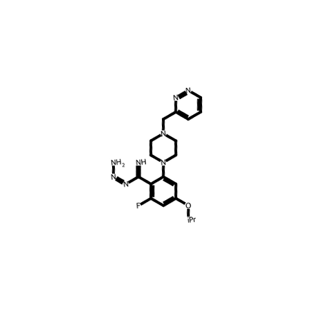 CC(C)Oc1cc(F)c(C(=N)/N=N\N)c(N2CCN(Cc3cccnn3)CC2)c1